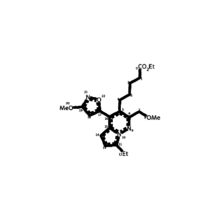 CCOC(=O)CCCCc1c(COC)nn2c(CC)ccc2c1-c1cc(OC)no1